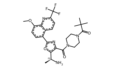 COc1ccc(-c2nc(C(=O)N3CCN(C(=O)C(C)(C)C)CC3)c([C@H](C)N)o2)c2ccc(C(F)(F)F)nc12